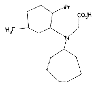 CC1CCC(C(C)C)C(N(CC(=O)O)C2CCCCCC2)C1